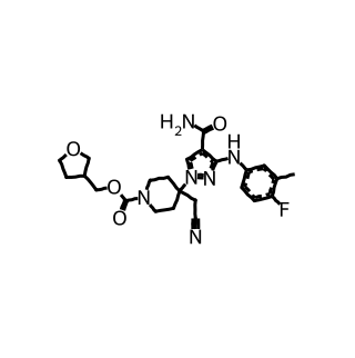 Cc1cc(Nc2nn(C3(CC#N)CCN(C(=O)OCC4CCOC4)CC3)cc2C(N)=O)ccc1F